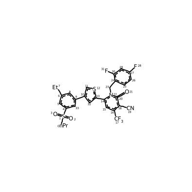 CCCS(=O)(=O)c1cc(CC)cc(-c2csc(-c3cc(C(F)(F)F)c(C#N)c(=O)n3Cc3ccc(F)cc3F)c2)c1